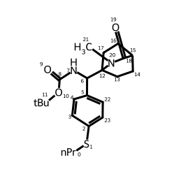 CCCSc1ccc(C(NC(=O)OC(C)(C)C)C23CCC(CC2)C(=O)N3C)cc1